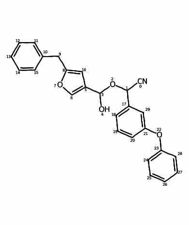 N#CC(OC(O)c1coc(Cc2ccccc2)c1)c1cccc(Oc2ccccc2)c1